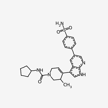 CC1CN(C(=O)NC2CCCC2)CC=C1c1c[nH]c2ncc(-c3ccc(S(N)(=O)=O)cc3)cc12